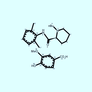 CCCCN1CCCC[C@H]1C(=O)Nc1c(C)cccc1C.COc1cc(C(=O)O)ccc1O